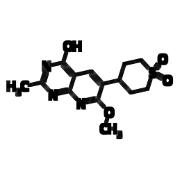 COc1nc2nc(C)nc(O)c2cc1C1CCS(=O)(=O)CC1